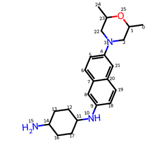 CC1CN(c2ccc3cc(NC4CCC(N)CC4)ccc3c2)CC(C)O1